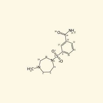 CN1CCCN(S(=O)(=O)c2cccc(C(N)=O)c2)CC1